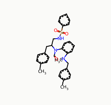 Cc1ccc(CC(CNS(=O)(=O)c2ccccc2)N(C=O)c2ccccc2N(C)Cc2ccc(C)cc2)cc1